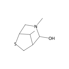 CC1C2CN(C)C(O)C1CS2